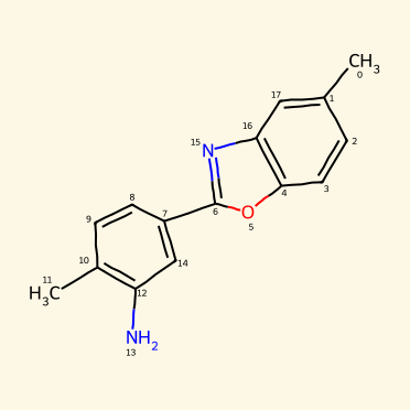 Cc1ccc2oc(-c3ccc(C)c(N)c3)nc2c1